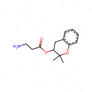 CC1(C)Oc2ccccc2CC1OC(=O)CCN